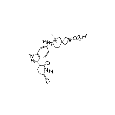 C[C@@H]1CC2(CC[C@H]1Nc1ccc3c(C4CCC(=O)NC4=O)nn(C)c3c1)CN(C(=O)O)C2